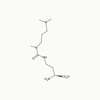 CN(C)CCCN(C)C(=O)NCC[C@H](N)C(=O)O